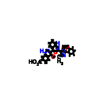 Cc1nc(-c2ccccc2C#N)n(O)c1C(=O)Nc1ccccc1C[C@H](N)C(=O)c1ccc(C(=O)O)cc1